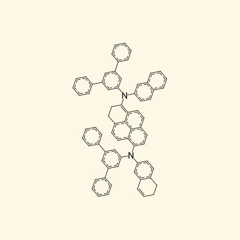 C1=Cc2cc(N(c3cc(-c4ccccc4)cc(-c4ccccc4)c3)c3ccc4ccc5c6c(ccc3c46)CCC=5N(c3cc(-c4ccccc4)cc(-c4ccccc4)c3)c3ccc4ccccc4c3)ccc2CC1